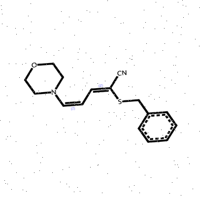 N#C/C(=C/C=C\N1CCOCC1)SCc1ccccc1